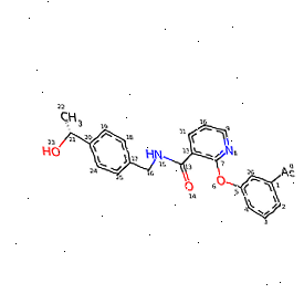 CC(=O)c1cccc(Oc2ncccc2C(=O)NCc2ccc([C@@H](C)O)cc2)c1